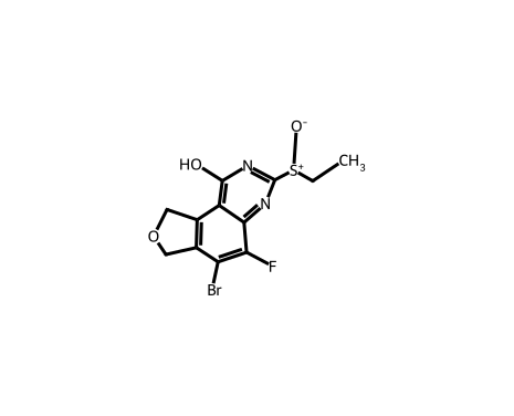 CC[S+]([O-])c1nc(O)c2c3c(c(Br)c(F)c2n1)COC3